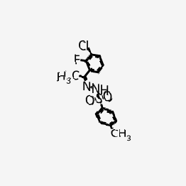 CC(=NNS(=O)(=O)c1ccc(C)cc1)c1cccc(Cl)c1F